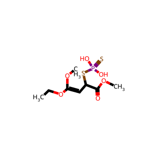 CCOC(=CC(SP(O)(O)=S)C(=O)OC)OC